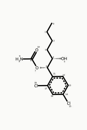 CCCC[C@H](O)[C@@H](OC(N)=O)c1ccc(Cl)cc1Cl